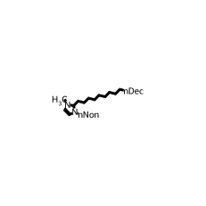 CCCCCCCCCCCCCCCCCCCC1N(C)C=CN1CCCCCCCCC